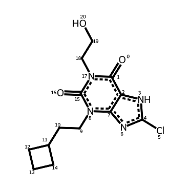 O=c1c2[nH]c(Cl)nc2n(CCC2CCC2)c(=O)n1CCO